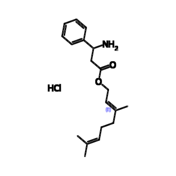 CC(C)=CCC/C(C)=C/COC(=O)CC(N)c1ccccc1.Cl